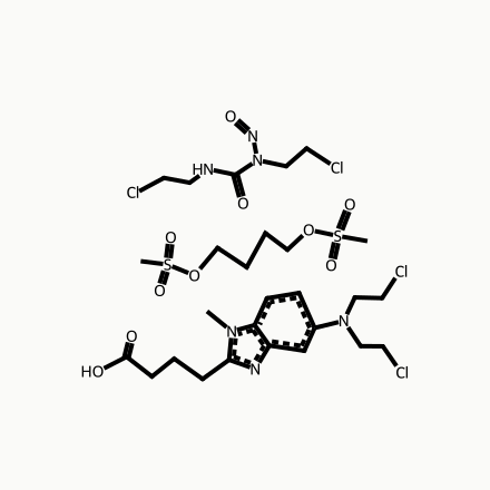 CS(=O)(=O)OCCCCOS(C)(=O)=O.Cn1c(CCCC(=O)O)nc2cc(N(CCCl)CCCl)ccc21.O=NN(CCCl)C(=O)NCCCl